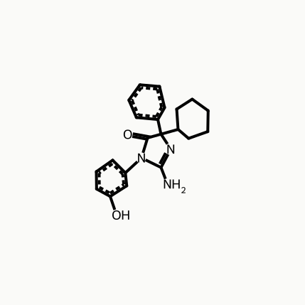 NC1=NC(c2ccccc2)(C2CCCCC2)C(=O)N1c1cccc(O)c1